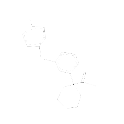 NC(=O)C1(c2cccc(Sc3ccc(F)cc3)c2)CCOCC1